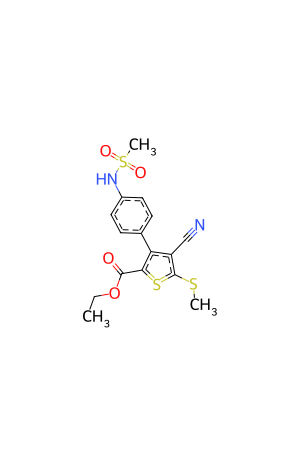 CCOC(=O)c1sc(SC)c(C#N)c1-c1ccc(NS(C)(=O)=O)cc1